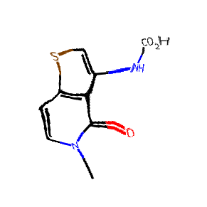 Cn1ccc2scc(NC(=O)O)c2c1=O